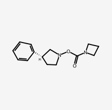 O=C(ON1CC[C@H](c2ccccc2)C1)N1CCC1